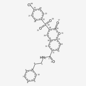 O=C(NCCc1ccccc1)c1ccc2oc(=O)c(S(=O)(=O)c3ccc(Cl)cc3)cc2c1